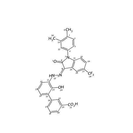 Cc1ccc(N2C(=O)/C(=N\Nc3cccc(-c4cccc(C(=O)O)c4)c3O)c3cc(C(F)(F)F)ccc32)cc1C